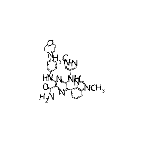 Cn1cc(Nc2nc(Nc3ccc(N4CCOCC4)cc3)c(C(N)=O)nc2-c2cccc3c2ncn3C)cn1